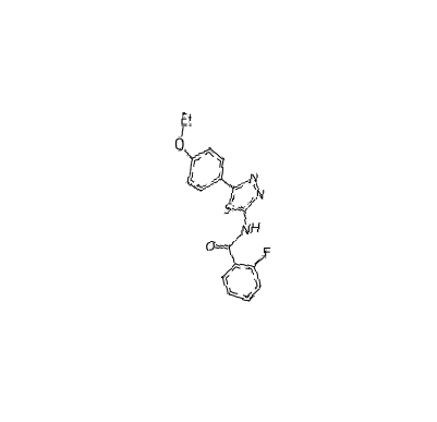 CCOc1ccc(-c2nnc(NC(=O)c3ccccc3F)s2)cc1